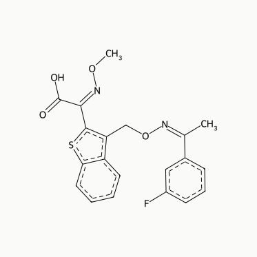 CON=C(C(=O)O)c1sc2ccccc2c1CON=C(C)c1cccc(F)c1